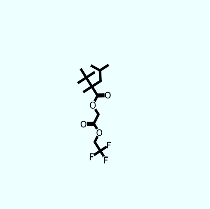 CC(C)CC(C)(C(=O)OCC(=O)OCC(F)(F)F)C(C)(C)C